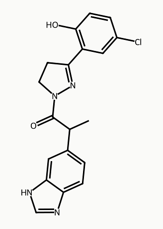 CC(C(=O)N1CCC(c2cc(Cl)ccc2O)=N1)c1ccc2nc[nH]c2c1